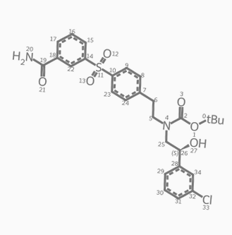 CC(C)(C)OC(=O)N(CCc1ccc(S(=O)(=O)c2cccc(C(N)=O)c2)cc1)C[C@@H](O)c1cccc(Cl)c1